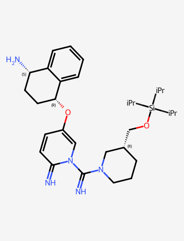 CC(C)[Si](OC[C@@H]1CCCN(C(=N)n2cc(O[C@@H]3CC[C@H](N)c4ccccc43)ccc2=N)C1)(C(C)C)C(C)C